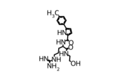 Cc1ccc(-c2ccc(C(=O)NC(CCCNC(=N)N)C(=O)NCCO)[nH]2)cc1